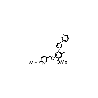 [CH2]c1cc(OC)c(OCc2ccc(OC)nc2)cc1N1C=CN(c2cccnc2)C1